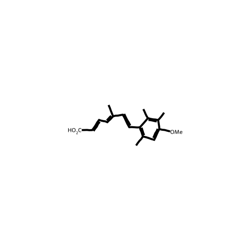 COc1cc(C)c(C=CC(C)=CC=CC(=O)O)c(C)c1C